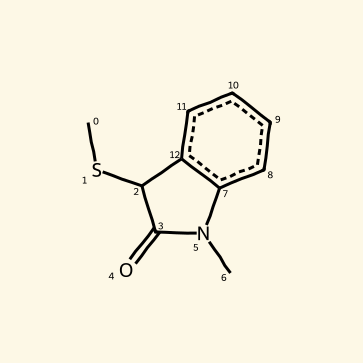 CSC1C(=O)N(C)c2ccccc21